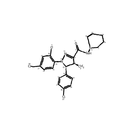 C[C@@H]1C(C(=O)NN2CCCCC2)=NN(c2ccc(Cl)cc2Cl)[C@@H]1c1ccc(Cl)cc1